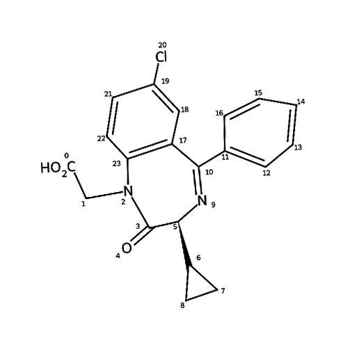 O=C(O)CN1C(=O)[C@H](C2CC2)N=C(c2ccccc2)c2cc(Cl)ccc21